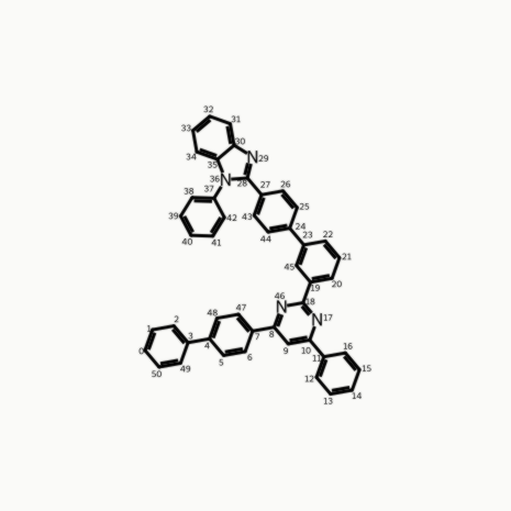 c1ccc(-c2ccc(-c3cc(-c4ccccc4)nc(-c4cccc(-c5ccc(-c6nc7ccccc7n6-c6ccccc6)cc5)c4)n3)cc2)cc1